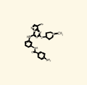 CC(C)c1cnn2c(Nc3cccc(NC(=O)c4ccc(N)cc4)c3)nc(OC3CCN(C)CC3)nc12